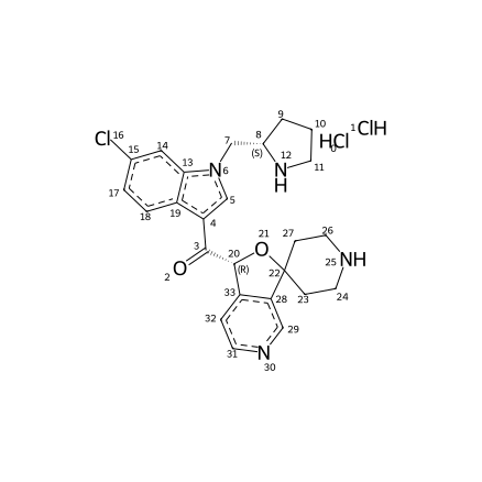 Cl.Cl.O=C(c1cn(C[C@@H]2CCCN2)c2cc(Cl)ccc12)[C@@H]1OC2(CCNCC2)c2cnccc21